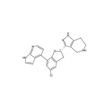 Clc1cc2c(c(-c3ccnc4[nH]ccc34)c1)O[C@H](c1n[nH]c3c1CNCC3)C2